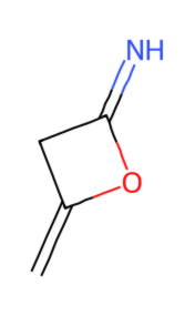 C=C1CC(=N)O1